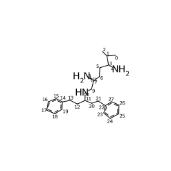 CC(C)C(N)CC[C@H](N)CNC(CCc1ccccc1)CCc1ccccc1